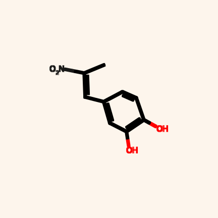 CC(=Cc1ccc(O)c(O)c1)[N+](=O)[O-]